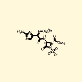 CON=C(C(=O)N[C@@H]1C(=O)N(S(=O)(=O)[O-])[C@H]1C(=O)OC)c1csc(N)n1.[Na+]